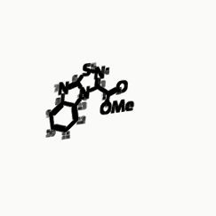 COC(=O)c1nsc2nc3ccccc3n12